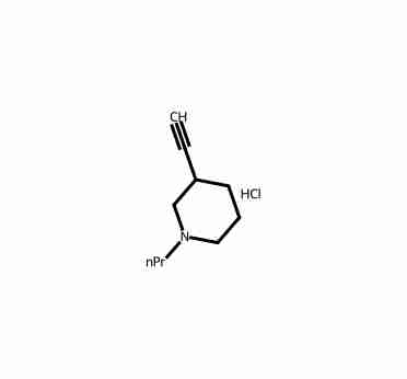 C#CC1CCCN(CCC)C1.Cl